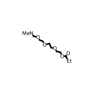 CCC(=O)OCCOCCOCCOCNC